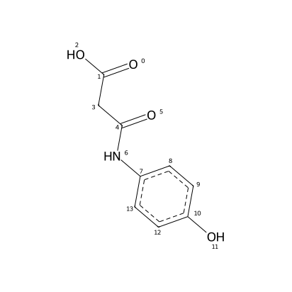 O=C(O)CC(=O)Nc1ccc(O)cc1